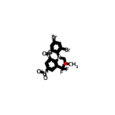 CCCN(c1ccc(Br)cc1Br)c1c([N+](=O)[O-])cc([N+](=O)[O-])cc1C(F)(F)F